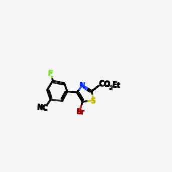 CCOC(=O)c1nc(-c2cc(F)cc(C#N)c2)c(Br)s1